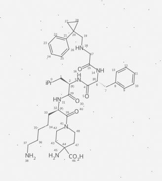 CC(C)C[C@@H](NC(=O)[C@@H](Cc1ccccc1)NC(=O)CNCC1(c2ccccc2)CC1)C(=O)N[C@H](CCCCCN)C(=O)N1CCC(N)(C(=O)O)CC1